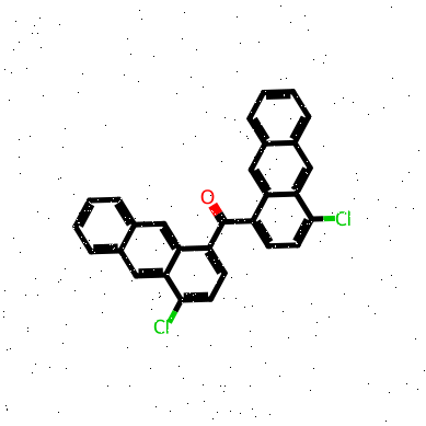 O=C(c1ccc(Cl)c2cc3ccccc3cc12)c1ccc(Cl)c2cc3ccccc3cc12